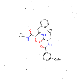 COc1cccc(C(=O)NC(CC2CC2)C(=O)N[C@H](Cc2ccccc2)C(=O)C(=O)NC2CC2)c1